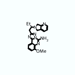 CC[C@H](Cc1nc2c3cccc(OC)c3nc(N)n2n1)N1Cc2cccnc2C1